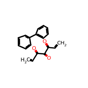 C=CC(=O)C(=O)C(=O)C=C.c1ccc(-c2ccccc2)cc1